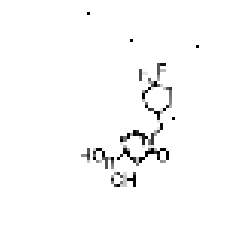 O=c1cc(B(O)O)ccn1CC1CCC(F)(F)CC1